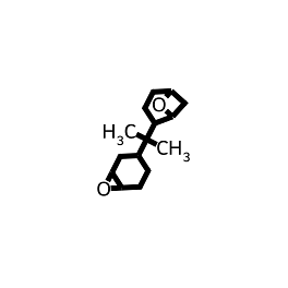 CC(C)(C1CCC2OC2C1)C1CCC2CC1O2